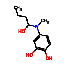 CCCC(O)N(C)c1ccc(O)c(O)c1